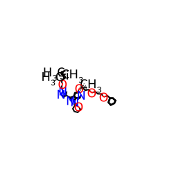 C[C@H](CCOCCCOCc1ccccc1)Oc1cc2c(-c3cnn(COCC[Si](C)(C)C)c3)nn(C3CCCCO3)c2cn1